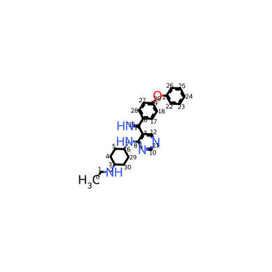 CCNC1CCC(Nc2ncncc2C(=N)c2ccc(Oc3ccccc3)cc2)CC1